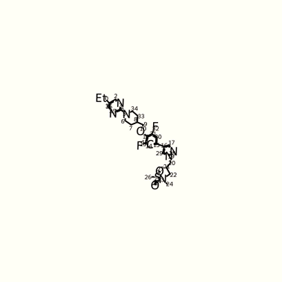 CCc1cnc(N2CCC(COc3c(F)cc(-c4cnn(CCCN(C)S(C)(=O)=O)c4)cc3F)CC2)nc1